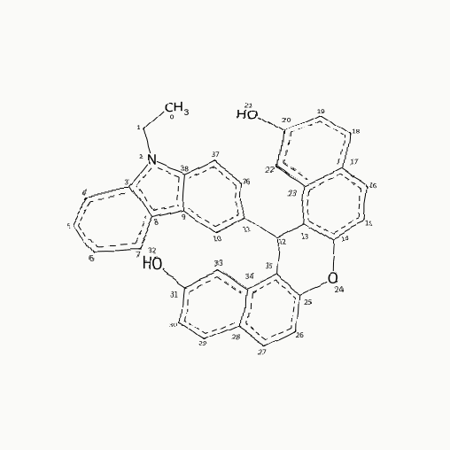 CCn1c2ccccc2c2cc(C3c4c(ccc5ccc(O)cc45)Oc4ccc5ccc(O)cc5c43)ccc21